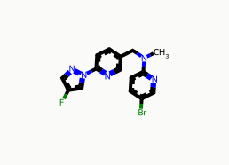 CN(Cc1ccc(-n2cc(F)cn2)nc1)c1ccc(Br)cn1